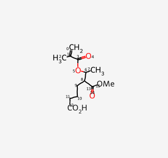 C=C(C)C(=O)OC(C)C(CCCC(=O)O)C(=O)OC